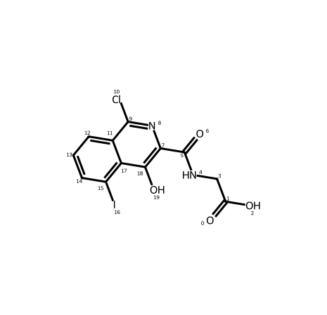 O=C(O)CNC(=O)c1nc(Cl)c2cccc(I)c2c1O